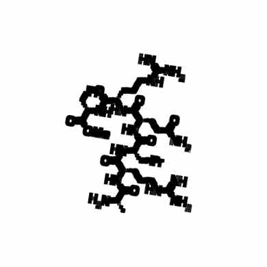 COC(=O)[C@H](CC(C)C)NC(=O)[C@H](CCCNC(=N)N)NC(=O)[C@H](CCC(N)=O)NC(=O)[C@H](CC(C)C)NC(=O)[C@H](CCCNC(=N)N)NC(=O)[C@H](C)N